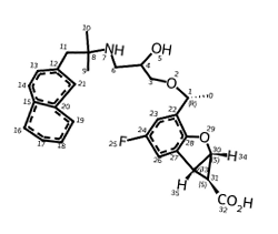 C[C@@H](OCC(O)CNC(C)(C)Cc1ccc2ccccc2c1)c1cc(F)cc2c1O[C@@H]1[C@@H](C(=O)O)[C@H]21